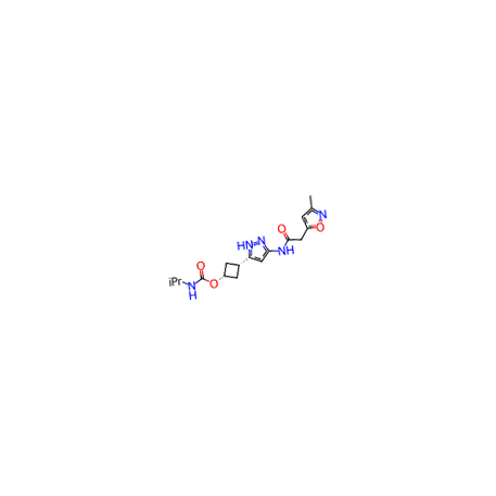 Cc1cc(CC(=O)Nc2cc([C@H]3C[C@@H](OC(=O)NC(C)C)C3)[nH]n2)on1